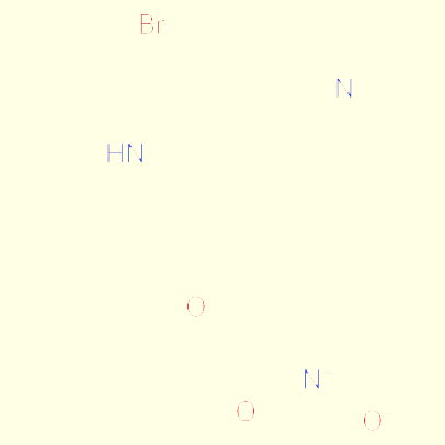 O=[N+]([O-])c1ccc2ncc(Br)c3c2c1OC1(CCC1)CN3